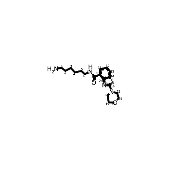 NCCCCCCNC(=O)c1cccc2sc(N3CCOCC3)nc12